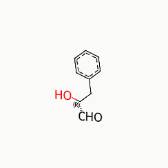 O=C[C@H](O)Cc1ccccc1